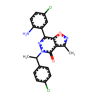 Cc1noc2c(-c3cc(Cl)ccc3N)nn(C(C)c3ccc(Cl)cc3)c(=O)c12